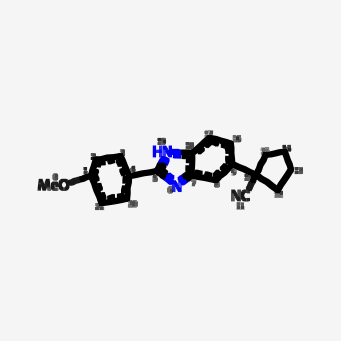 COc1ccc(-c2nc3cc(C4(C#N)CCCC4)ccc3[nH]2)cc1